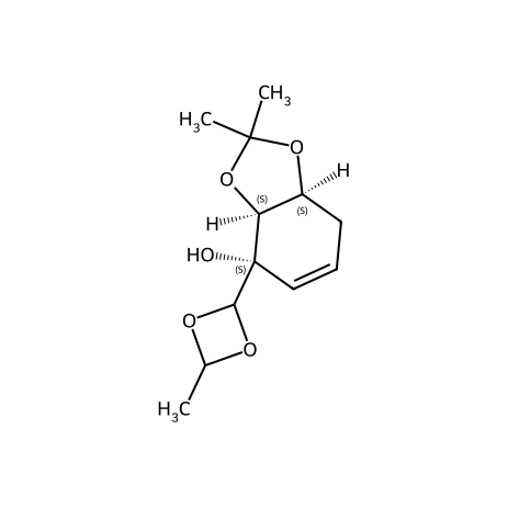 CC1OC([C@]2(O)C=CC[C@@H]3OC(C)(C)O[C@@H]32)O1